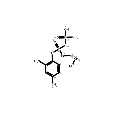 CC.CCCCNP(=O)(Oc1ccc(C)cc1[N+](=O)[O-])SP(N)(=O)O